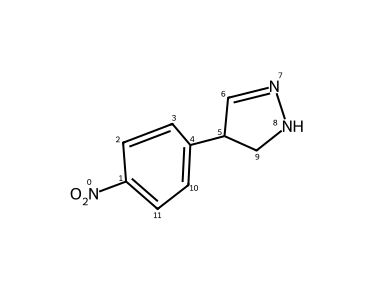 O=[N+]([O-])c1ccc(C2C=NNC2)cc1